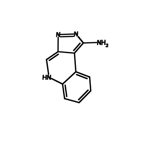 Nc1nnc2c[nH]c3ccccc3c1-2